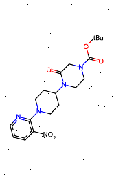 CC(C)(C)OC(=O)N1CCN(C2CCN(c3ncccc3[N+](=O)[O-])CC2)C(=O)C1